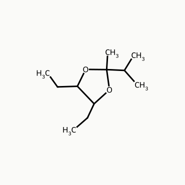 CCC1OC(C)(C(C)C)OC1CC